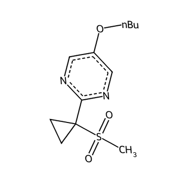 CCCCOc1cnc(C2(S(C)(=O)=O)CC2)nc1